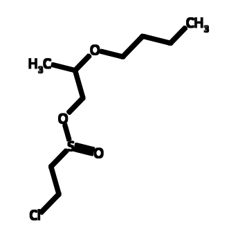 CCCCOC(C)COS(=O)CCCl